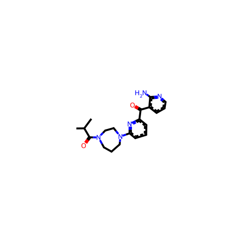 CC(C)C(=O)N1CCCN(c2cccc(C(=O)c3cccnc3N)n2)CC1